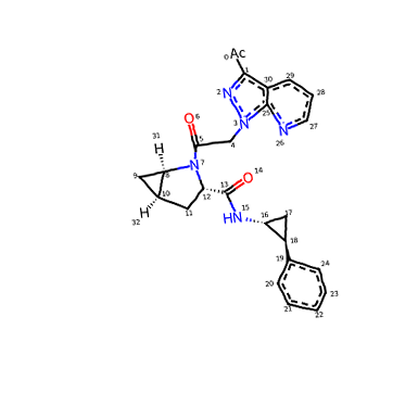 CC(=O)c1nn(CC(=O)N2[C@@H]3C[C@@H]3C[C@H]2C(=O)N[C@@H]2C[C@H]2c2ccccc2)c2ncccc12